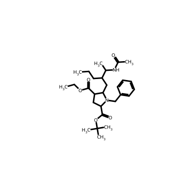 CCCC(CC1C(C(=O)OCC)CC(C(=O)OC(C)(C)C)N1Cc1ccccc1)C(C)NC(C)=O